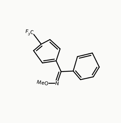 CON=C(c1ccccc1)c1ccc(C(F)(F)F)cc1